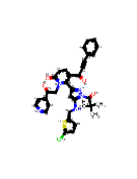 CC(C)(C)C(=O)n1nc(-c2c(C(=O)C#Cc3ccccc3)ccc(=O)n2CC(=O)c2ccncc2)cc1NCc1ccc(Cl)s1